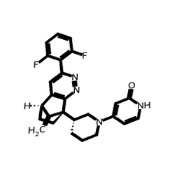 C=C1[C@H]2CC[C@]1([C@H]1CCCN(c3cc[nH]c(=O)c3)C1)c1nnc(-c3c(F)cccc3F)cc12